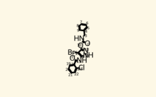 O=C(NCc1ccccc1)Oc1n[nH]c(NC(=O)c2ccccc2Cl)c1Br